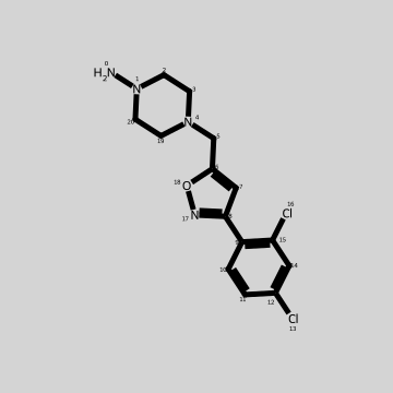 NN1CCN(Cc2cc(-c3ccc(Cl)cc3Cl)no2)CC1